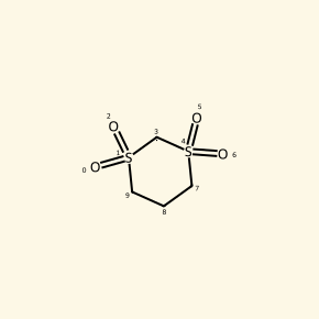 O=S1(=O)[CH]S(=O)(=O)CCC1